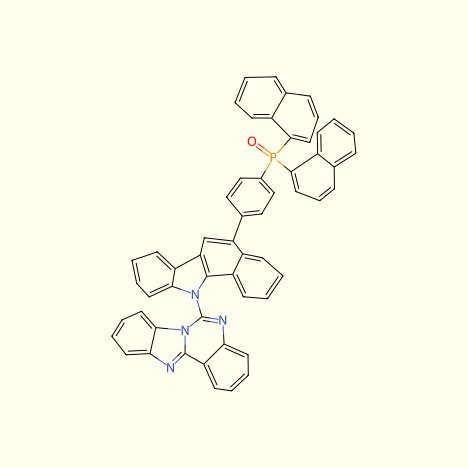 O=P(c1ccc(-c2cc3c4ccccc4n(-c4nc5ccccc5c5nc6ccccc6n45)c3c3ccccc23)cc1)(c1cccc2ccccc12)c1cccc2ccccc12